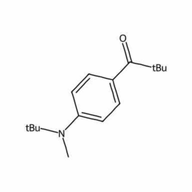 CN(c1ccc(C(=O)C(C)(C)C)cc1)C(C)(C)C